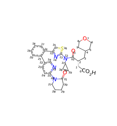 O=C(O)C[C@@H](CC1CCOCC1)C(=O)N(c1nc(-c2ccccc2-c2ccc(N3CCCCC3=O)nc2)cs1)C1CC1